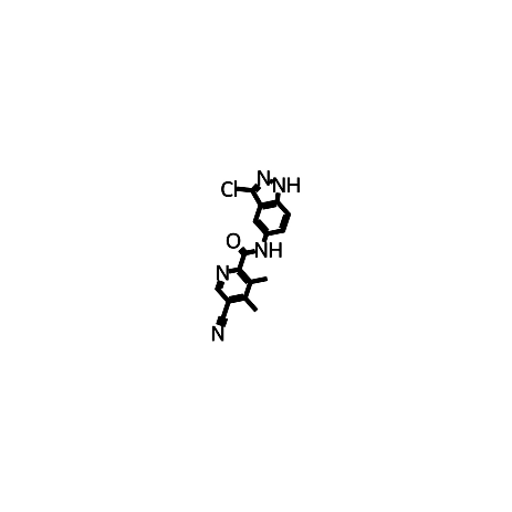 Cc1c(C#N)cnc(C(=O)Nc2ccc3[nH]nc(Cl)c3c2)c1C